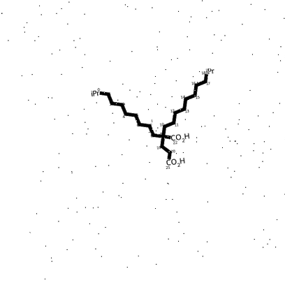 CC(C)CCCCCCCCC(CCCCCCCCC(C)C)(CCC(=O)O)C(=O)O